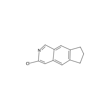 Clc1cc2cc3c(cc2cn1)CCC3